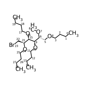 CCCCOC[C@@H](OC)[C@@H](OCCCC)[C@H](OCCCC)[C@H](CBr)OCCCC